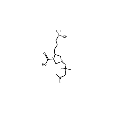 CN(C)CC(C)(C)CN1CC(CCCB(O)O)[C@H](C(=O)O)C1